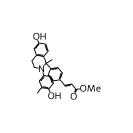 COC(=O)C=Cc1ccc(C2(C)c3ccc(O)cc3CCN2c2ccc(O)c(C)c2)cc1